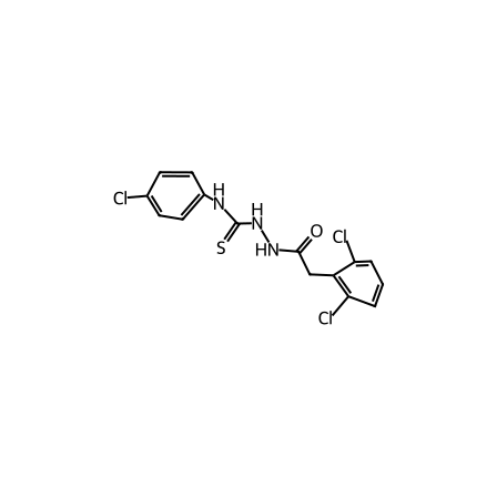 O=C(Cc1c(Cl)cccc1Cl)NNC(=S)Nc1ccc(Cl)cc1